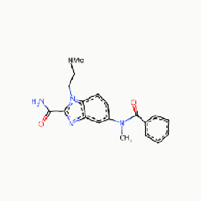 CNCCn1c(C(N)=O)nc2cc(N(C)C(=O)c3ccccc3)ccc21